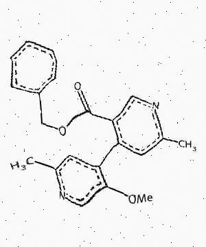 COc1cnc(C)cc1-c1cc(C)ncc1C(=O)OCc1ccccc1